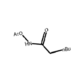 CCCCCC(=O)NOC(C)=O